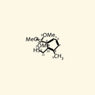 CO[Si](OC)(OC)c1cccc(C)c1CS